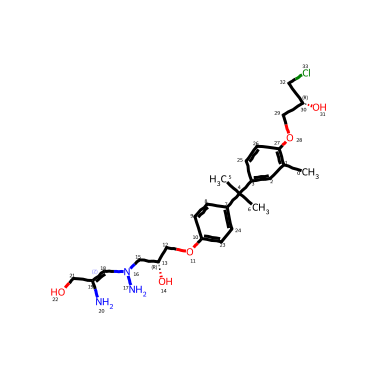 Cc1cc(C(C)(C)c2ccc(OC[C@H](O)CN(N)/C=C(\N)CO)cc2)ccc1OC[C@@H](O)CCl